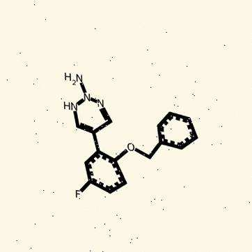 NN1N=CC(c2cc(F)ccc2OCc2ccccc2)=CN1